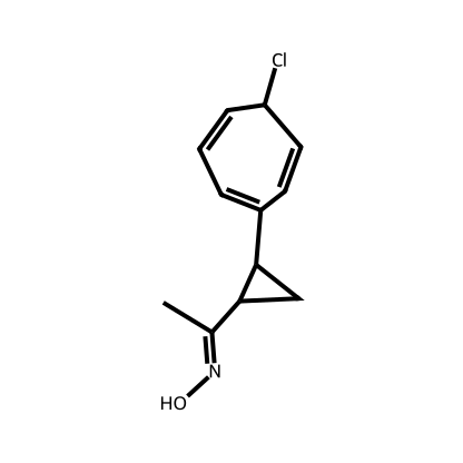 C/C(=N\O)C1CC1C1=CC=CC(Cl)C=C1